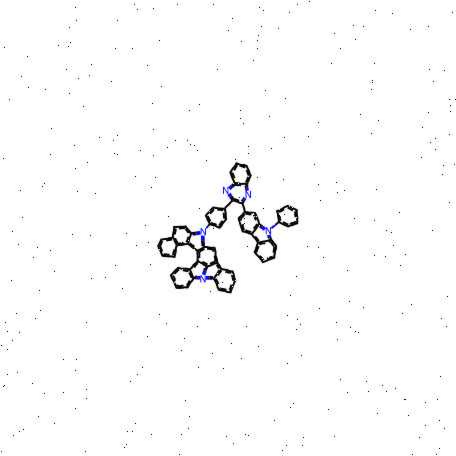 c1ccc(-n2c3ccccc3c3ccc(-c4nc5ccccc5nc4-c4ccc(-n5c6ccc7ccccc7c6c6c7c8ccccc8n8c9ccccc9c(cc65)c78)cc4)cc32)cc1